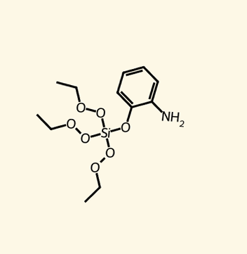 CCOO[Si](OOCC)(OOCC)Oc1ccccc1N